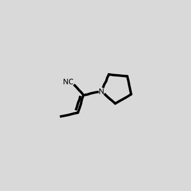 CC=C(C#N)N1CCCC1